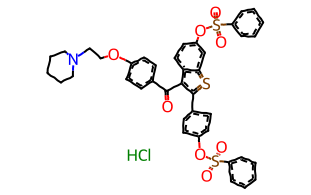 Cl.O=C(c1ccc(OCCN2CCCCC2)cc1)c1c(-c2ccc(OS(=O)(=O)c3ccccc3)cc2)sc2cc(OS(=O)(=O)c3ccccc3)ccc12